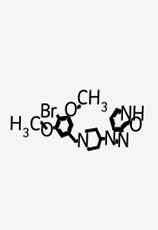 CCOc1cc(CN2CCC(n3cnc4c(=O)[nH]ccc43)CC2)cc(OCC)c1Br